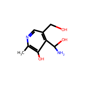 Cc1ncc(CO)c(C(N)O)c1O